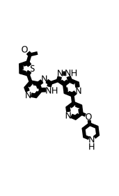 CC(=O)c1ccc(-c2cncc3[nH]c(-c4n[nH]c5cnc(-c6cncc(OC7CCNCC7)c6)cc45)nc23)s1